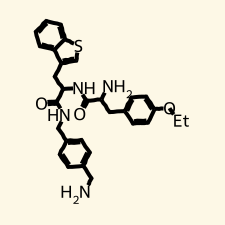 CCOc1ccc(CC(N)C(=O)NC(Cc2csc3ccccc23)C(=O)NCc2ccc(CN)cc2)cc1